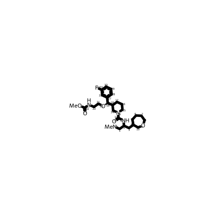 CNCC(CC1CCCCOC1)NC(=O)N1CCCC([C@@H](OCCNC(=O)OC)c2cccc(F)c2)C1